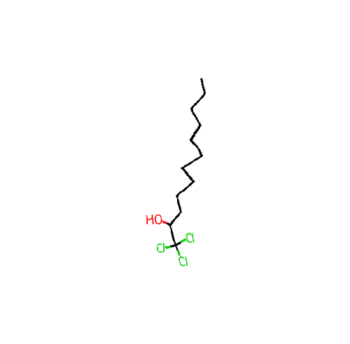 CCCCCCCCCCC(O)C(Cl)(Cl)Cl